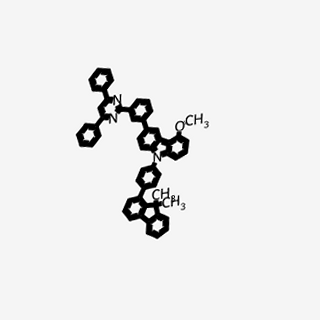 COc1cccc2c1c1cc(-c3cccc(-c4nc(-c5ccccc5)cc(-c5ccccc5)n4)c3)ccc1n2-c1ccc(-c2cccc3c2C(C)(C)c2ccccc2-3)cc1